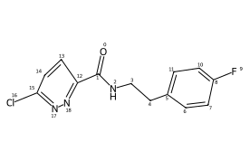 O=C(NCCc1ccc(F)cc1)c1ccc(Cl)nn1